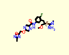 C/N=C(/N)S[C@@](C)(COC)Cc1cc(NC(=O)c2cnc(OCc3nc(C)no3)cn2)ccc1F